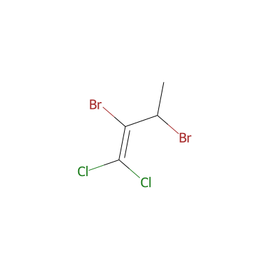 CC(Br)C(Br)=C(Cl)Cl